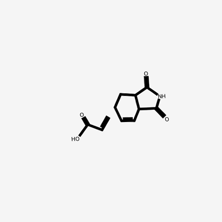 C=CC(=O)O.O=C1NC(=O)C2CCC=CC12